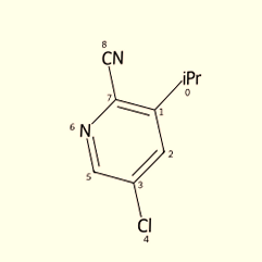 CC(C)c1cc(Cl)cnc1C#N